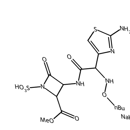 CCCCONC(C(=O)NC1C(=O)N(S(=O)(=O)O)C1C(=O)OC)c1csc(N)n1.[NaH]